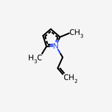 C=CCn1c(C)ccc1C